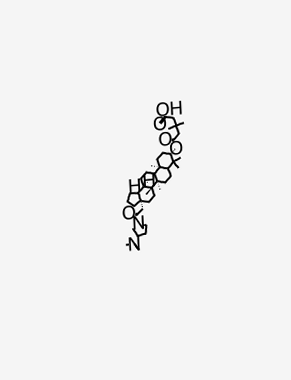 CN(C)[C@@H]1CCN(C(=O)C[C@]23CCC[C@@H]2[C@H]2CCC4[C@@]5(C)CC[C@H](OC(=O)CC(C)(C)CC(=O)O)C(C)(C)C5CC[C@@]4(C)[C@]2(C)CC3)C1